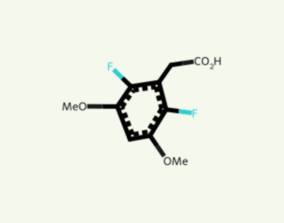 COc1cc(OC)c(F)c(CC(=O)O)c1F